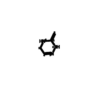 C=C1BN=CCN1